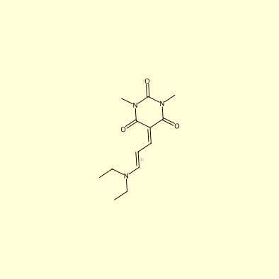 CCN(/C=C/C=C1C(=O)N(C)C(=O)N(C)C1=O)CC